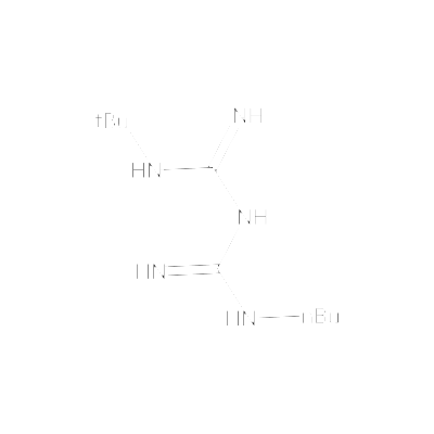 CCCCNC(=N)NC(=N)NC(C)(C)C